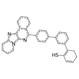 SC1=C(c2cccc(-c3ccc(-c4nc5c(nc6ccccn65)c5ccccc45)cc3)c2)CCC=C1